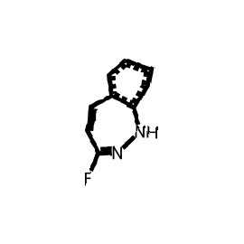 FC1=NNc2ccccc2C=C1